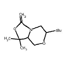 C=C1OC(C)(C)C2COC(C(C)(C)C)CN12